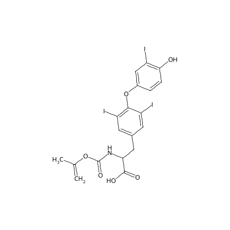 C=C(C)OC(=O)NC(Cc1cc(I)c(Oc2ccc(O)c(I)c2)c(I)c1)C(=O)O